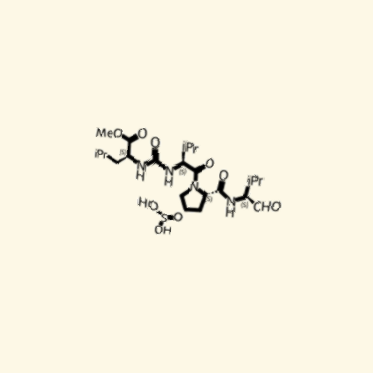 COC(=O)[C@H](CC(C)C)NC(=O)N[C@H](C(=O)N1CCC[C@H]1C(=O)N[C@H](C=O)C(C)C)C(C)C.O=S(O)O